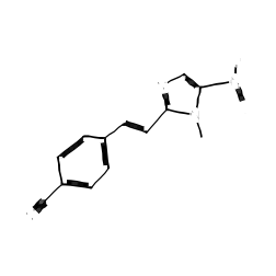 Cn1c([N+](=O)[O-])cnc1C=Cc1ccc(C#N)cc1